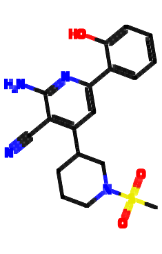 CS(=O)(=O)N1CCCC(c2cc(-c3ccccc3O)nc(N)c2C#N)C1